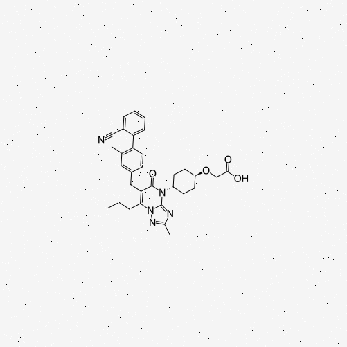 CCCc1c(Cc2ccc(-c3ccccc3C#N)c(C)c2)c(=O)n([C@H]2CC[C@H](OCC(=O)O)CC2)c2nc(C)nn12